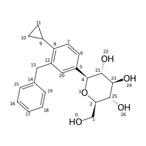 OC[C@H]1O[C@@H](c2ccc(C3CC3)c(Cc3ccccc3)c2)[C@H](O)[C@@H](O)[C@@H]1O